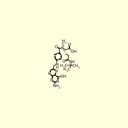 CN(C(=O)c1ccc(NCc2cnc3nc(N)nc(O)c3n2)cc1)[C@@H](CCC(=O)NC(C)(C)C)C(=O)O